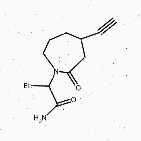 C#CC1CCCN(C(CC)C(N)=O)C(=O)C1